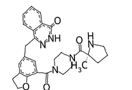 C[C@@]1(C(=O)N2CCN(C(=O)c3cc(Cc4n[nH]c(=O)c5ccccc45)cc4c3OCC4)CC2)CCCN1